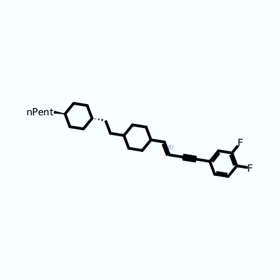 CCCCC[C@H]1CC[C@H](CCC2CCC(/C=C/C#Cc3ccc(F)c(F)c3)CC2)CC1